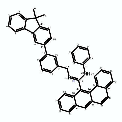 CC1(C)c2ccccc2-c2cc(-c3cccc(C/N=C(\Nc4ccccc4)c4c5ccccc5cc5ccc6ccccc6c45)c3)ccc21